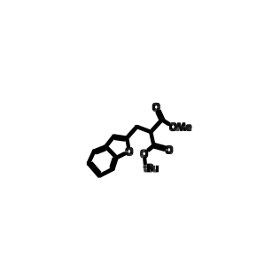 COC(=O)C(Cc1cc2ccccc2o1)C(=O)OC(C)(C)C